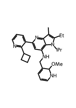 CCc1c(C)c2nc(-c3cccnc3C3CCC3)cc(NCC3=CC=CNC3OC)c2n1C(C)C